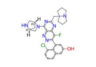 Oc1cc(-c2nnc3c(N4C[C@H]5C[C@@H]4CN5)nc(CC45CCCN4CCC5)nc3c2F)c2c(Cl)cccc2c1